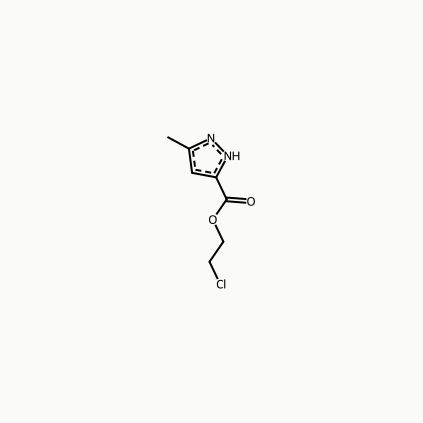 Cc1cc(C(=O)OCCCl)[nH]n1